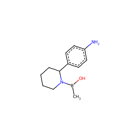 CB(O)N1CCCCC1c1ccc(N)cc1